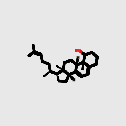 CC(C)=CCC[C@@H](C)[C@H]1CC[C@H]2C3=CC=C4CCCC(O)[C@]4(C)[C@H]3CC[C@]12C